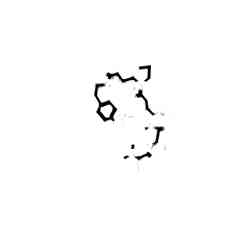 CC[C@H](C)[C@@H]([C@@H](CC(=O)N1CCC[C@H]1[C@H](OC)[C@@H](C)C(=O)N[C@@H](Cc1ccc(O)cc1)C(=O)O)OC)N(C)C(=O)[C@@H](NC(=O)[C@H](C(C)C)N(C)C)C(C)C